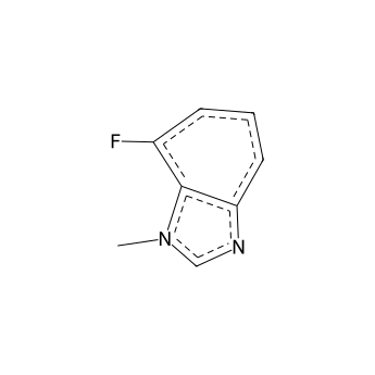 Cn1cnc2cccc(F)c21